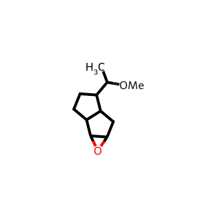 COC(C)C1CCC2C1CC1OC12